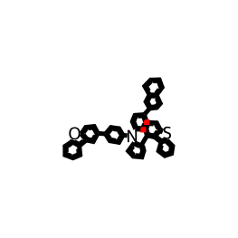 c1ccc(N(c2ccc(-c3ccc4ccccc4c3)cc2)c2ccc(-c3ccc4oc5ccccc5c4c3)cc2)c(-c2cccc3sc4ccccc4c23)c1